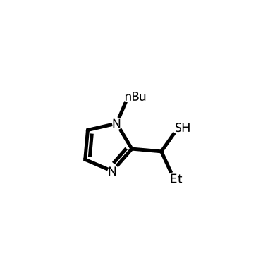 CCCCn1ccnc1C(S)CC